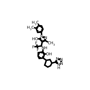 Cc1ccc(-n2nc(C)c(C(Nc3cccc(C4CCCC(c5nnn[nH]5)C4)c3O)C(F)(F)F)c2O)cc1C